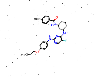 COCCOc1ccc(Nc2ncc(F)c(NC3CCCC(NC(=O)c4ccc(C(C)(C)C)cc4)C3)n2)cc1